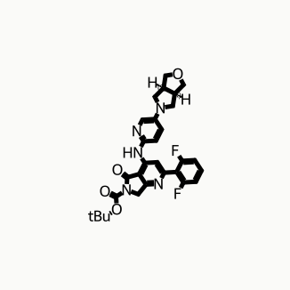 CC(C)(C)OC(=O)N1Cc2nc(-c3c(F)cccc3F)cc(Nc3ccc(N4C[C@H]5COC[C@H]5C4)cn3)c2C1=O